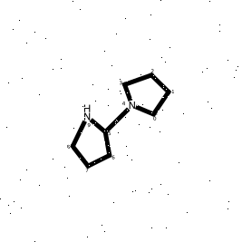 [CH]1CCCN1C1CCCN1